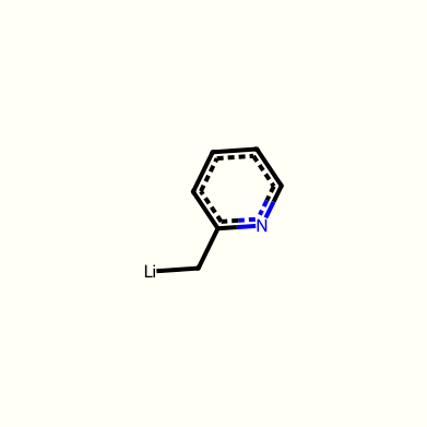 [Li][CH2]c1ccccn1